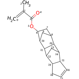 C=C(C)C(=O)OC1CC2CC1C1C3CC(C4C=CCC43)C21